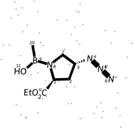 CCOC(=O)[C@@H]1C[C@@H](N=[N+]=[N-])CN1B(C)O